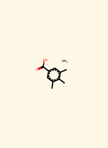 Cc1cc(C(=O)O)cc(C)c1C.[AlH3]